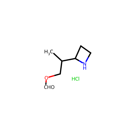 CC(COC=O)C1CCN1.Cl